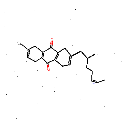 C/C=C\CCC(C)CC1=CCC2=C(C1)C(=O)C1=C(CC=C(CC)C1)C2=O